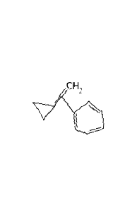 C=C(c1ccccc1)C1CC1